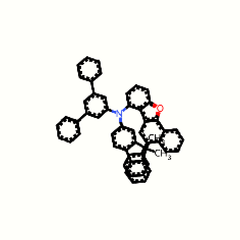 CC1(C)c2ccccc2-c2ccc(N(c3cc(-c4ccccc4)cc(-c4ccccc4)c3)c3cccc4oc5c6ccccc6c(-c6ccccc6)cc5c34)cc21